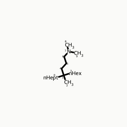 CCCCCCCC(C)(CCCCCC)CCCN(C)C